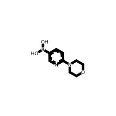 OB(O)c1ccc(N2CCOCC2)nc1